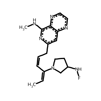 C/C=C(\C=C/Cc1cc2nccnc2c(NC)n1)N1CCC(NF)C1